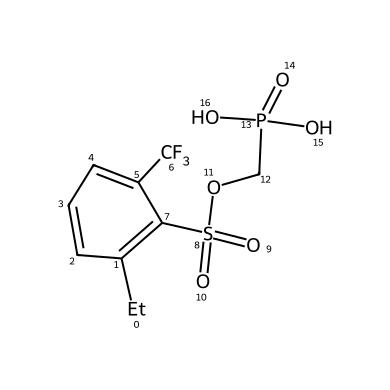 CCc1cccc(C(F)(F)F)c1S(=O)(=O)OCP(=O)(O)O